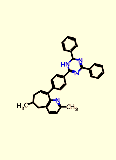 Cc1ccc2c(n1)C(c1ccc(C3=NC(c4ccccc4)=NC(c4ccccc4)N3)cc1)=CCC(C)C2